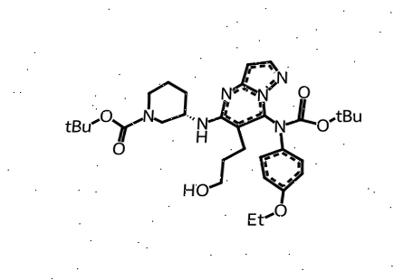 CCOc1ccc(N(C(=O)OC(C)(C)C)c2c(CCCO)c(N[C@H]3CCCN(C(=O)OC(C)(C)C)C3)nc3ccnn23)cc1